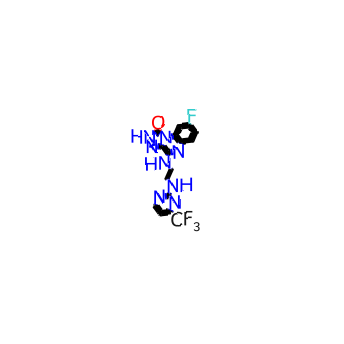 O=c1[nH]nc2c(NCCNc3nccc(C(F)(F)F)n3)nc3ccc(F)cc3n12